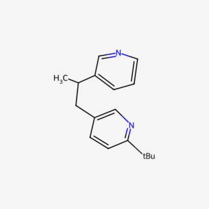 CC(Cc1ccc(C(C)(C)C)nc1)c1cccnc1